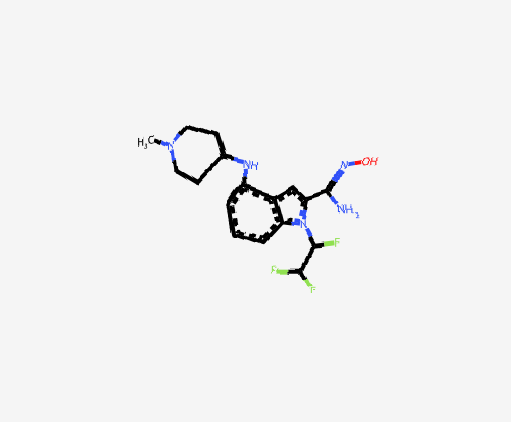 CN1CCC(Nc2cccc3c2cc(C(N)=NO)n3C(F)C(F)F)CC1